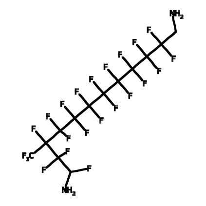 NCC(F)(F)C(F)(F)C(F)(F)C(F)(F)C(F)(F)C(F)(F)C(F)(F)C(F)(F)C(F)(C(F)(F)F)C(F)(F)C(N)F